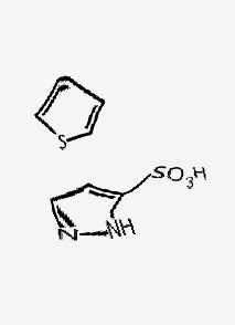 O=S(=O)(O)c1ccn[nH]1.c1ccsc1